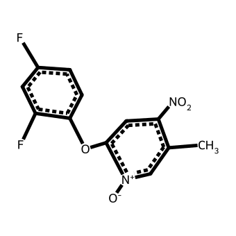 Cc1c[n+]([O-])c(Oc2ccc(F)cc2F)cc1[N+](=O)[O-]